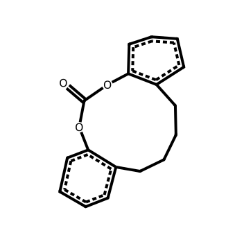 O=C1Oc2ccccc2CCCCc2ccccc2O1